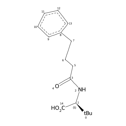 CC(C)(C)[C@H](NC(=O)CCCc1ccccc1)C(=O)O